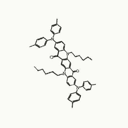 CCCCCCn1c2ccc(N(c3ccc(C)cc3)c3ccc(C)cc3)cc2c(=O)c2cc3c(cc21)c(=O)c1cc(N(c2ccc(C)cc2)c2ccc(C)cc2)ccc1n3CCCCCC